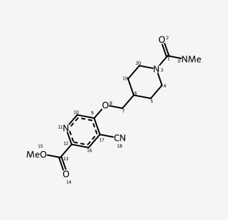 CNC(=O)N1CCC(COc2cnc(C(=O)OC)cc2C#N)CC1